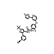 Cn1ccc(-c2cc(Oc3ccc(NC(=O)Nc4cn(C(C)(C)C)nc4-c4cccc(C#N)c4)c(F)c3)ccn2)n1